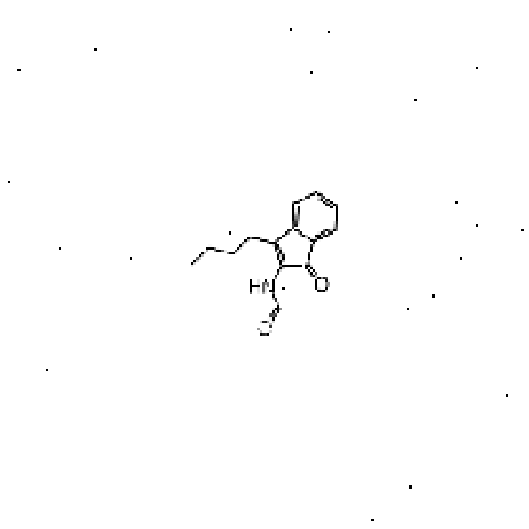 CCCCC1=C(NC=O)C(=O)c2ccccc21